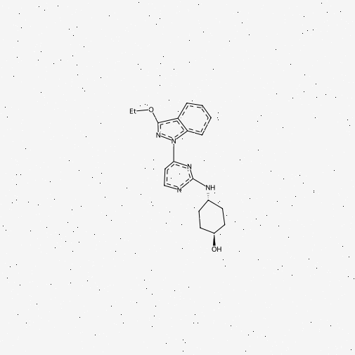 CCOc1nn(-c2ccnc(N[C@H]3CC[C@H](O)CC3)n2)c2ccccc12